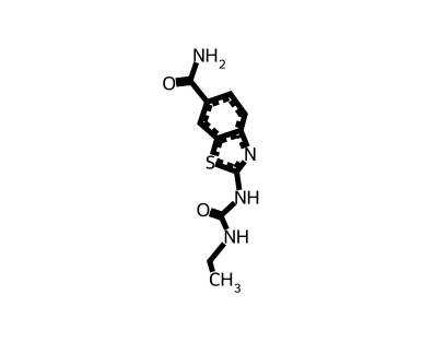 CCNC(=O)Nc1nc2ccc(C(N)=O)cc2s1